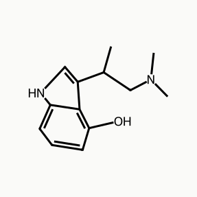 CC(CN(C)C)c1c[nH]c2cccc(O)c12